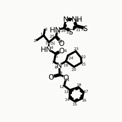 CC(C)[C@H](NC(=O)CN(C(=O)OCc1ccccc1)C1CCCCC1)C(=O)Nc1n[nH]c(=S)s1